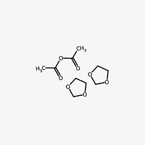 C1COCO1.C1COCO1.CC(=O)OC(C)=O